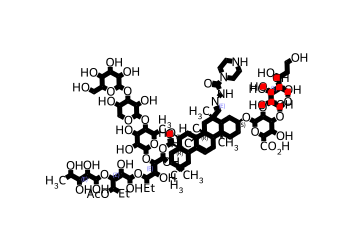 CCC(OC(C)=O)/C(OC(O)/C(O)=C(\O)C(C)O)=C(/O)C(O)OC(CC)/C(O)=C(\OC1OC(C)C(OC2OCC(O)C(OC3OC(CO)C(O)C(O)C3O)C2O)C(O)C1O)C(O)OC(=O)[C@]12CCC(C)(C)CC1C1=CCC3[C@@]4(C)CC[C@H](OC5OC(C(=O)O)C(O)C(OC6OCC(O)C(O)C6O)C5OC(O)/C(O)=C(\O)C(O)CCO)CC4[C@@](C)(/C=N/NC(=O)N4CCNCC4)C[C@@]3(C)[C@]1(C)C[C@H]2O